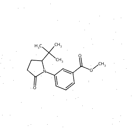 COC(=O)c1cccc(N2C(=O)CCC2C(C)(C)C)c1